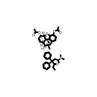 CC(=O)Oc1ccc2c3c1O[C@H]1[C@@H](OC(C)=O)C=C[C@H]4[C@@H](C2)N(C)CC[C@@]341.CCC(=O)C(CC(C)N(C)C)(c1ccccc1)c1ccccc1